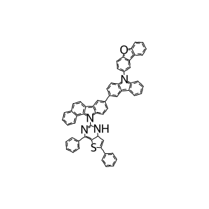 C1=C(c2ccccc2)SC2=C(c3ccccc3)N=C(n3c4ccc(-c5ccc6c(c5)c5ccccc5n6-c5ccc6oc7ccccc7c6c5)cc4c4ccc5ccccc5c43)NC12